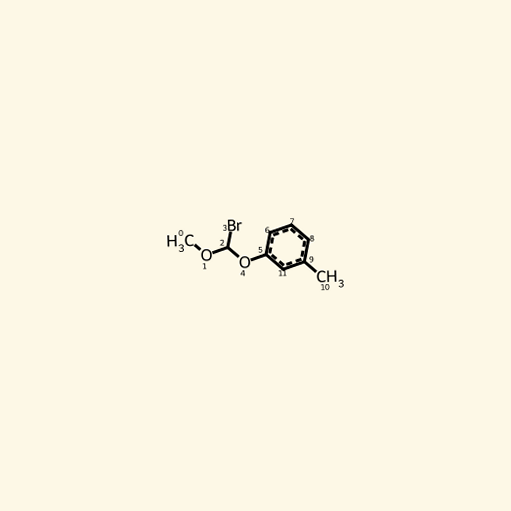 COC(Br)Oc1cccc(C)c1